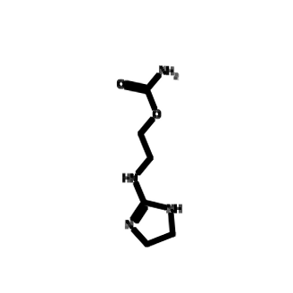 NC(=O)OCCNC1=NCCN1